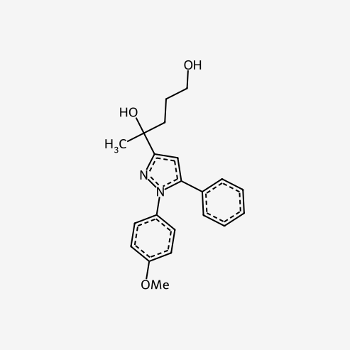 COc1ccc(-n2nc(C(C)(O)CCCO)cc2-c2ccccc2)cc1